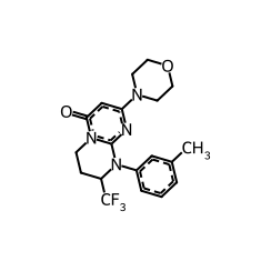 Cc1cccc(N2c3nc(N4CCOCC4)cc(=O)n3CCC2C(F)(F)F)c1